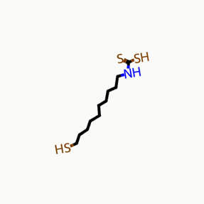 S=C(S)NCCCCCCCCCCS